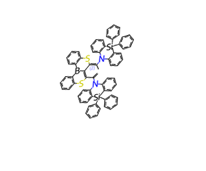 C=C(C1=C2B(c3ccccc3S1)c1ccccc1S/C2=C(/C)N1c2ccccc2[Si](c2ccccc2)(c2ccccc2)c2ccccc21)N1c2ccccc2[Si](c2ccccc2)(c2ccccc2)c2ccccc21